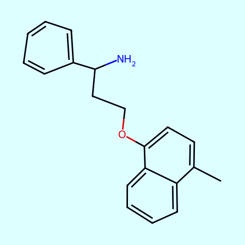 Cc1ccc(OCCC(N)c2ccccc2)c2ccccc12